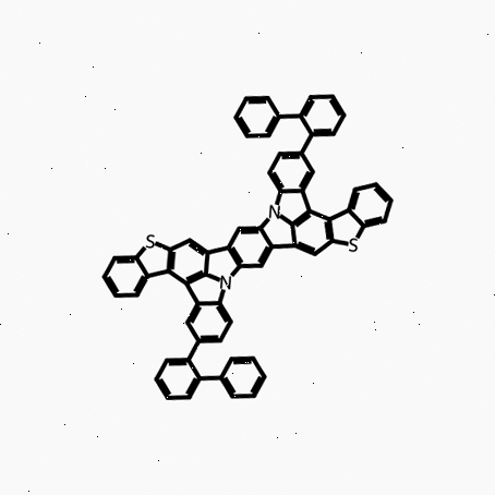 c1ccc(-c2ccccc2-c2ccc3c(c2)c2c4c(cc5c6cc7c(cc6n3c52)c2cc3sc5ccccc5c3c3c5cc(-c6ccccc6-c6ccccc6)ccc5n7c23)sc2ccccc24)cc1